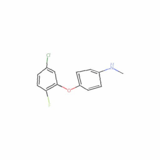 CNc1ccc(Oc2cc(Cl)ccc2F)cc1